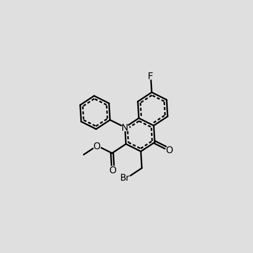 COC(=O)c1c(CBr)c(=O)c2ccc(F)cc2n1-c1ccccc1